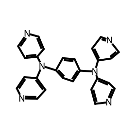 c1cc(N(c2ccncc2)c2ccc(N(c3ccncc3)c3ccncc3)cc2)ccn1